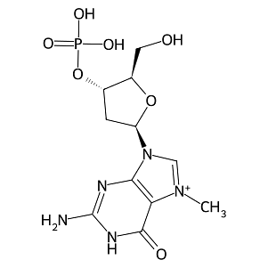 C[n+]1cn([C@H]2C[C@H](OP(=O)(O)O)[C@@H](CO)O2)c2nc(N)[nH]c(=O)c21